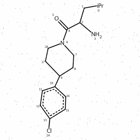 CC(C)CC(N)C(=O)N1CCC(c2ccc(Cl)cc2)CC1